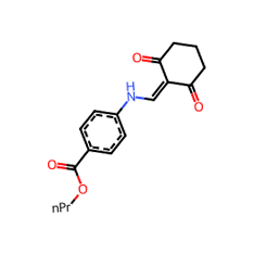 CCCOC(=O)c1ccc(NC=C2C(=O)CCCC2=O)cc1